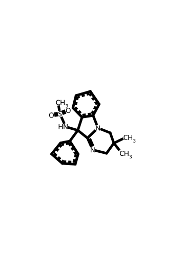 CC1(C)CN=C2N(C1)c1ccccc1C2(NS(C)(=O)=O)c1ccccc1